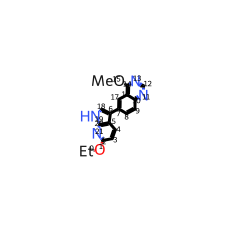 CCOc1ccc2c(-c3ccc4ncnc(OC)c4c3)c[nH]c2n1